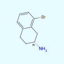 N[C@@H]1CCc2cccc(Br)c2C1